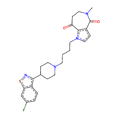 CN1CCC(=O)c2c(ccn2CCCCN2CCC(c3nsc4cc(F)ccc34)CC2)C1=O